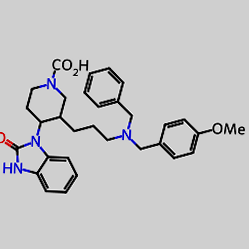 COc1ccc(CN(CCCC2CN(C(=O)O)CCC2n2c(=O)[nH]c3ccccc32)Cc2ccccc2)cc1